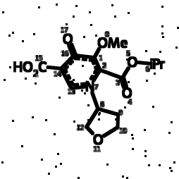 COc1c(C(=O)OC(C)C)n(C2CCOC2)cc(C(=O)O)c1=O